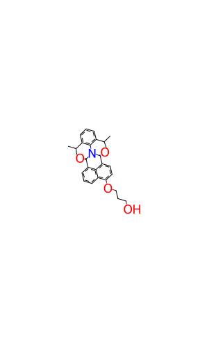 CC(C)c1cccc(C(C)C)c1N1C(=O)c2cccc3c(OCCCO)ccc(c23)C1=O